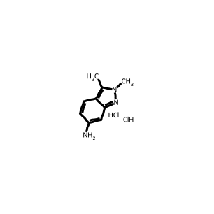 Cc1c2ccc(N)cc2nn1C.Cl.Cl